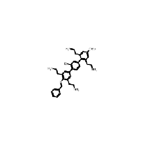 CCc1cc(-c2c(CCN)cc(OC)cc2CCN)ccc1-c1cc(CCN)c(OCc2ccccc2)c(CCN)c1